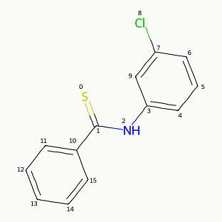 S=C(Nc1cccc(Cl)c1)c1ccccc1